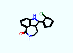 O=C1NCCC2c3c(cccc31)NC2c1ccccc1Cl